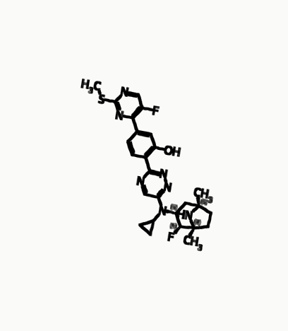 CSc1ncc(F)c(-c2ccc(-c3ncc(N(C4CC4)[C@H]4C[C@]5(C)CC[C@@](C)(N5)[C@H]4F)nn3)c(O)c2)n1